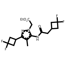 CCOC(=O)Cn1nc(C2CC(F)(F)C2)c(C)c1NC(=O)CC1CC(F)(F)C1